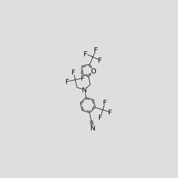 N#Cc1ccc(N(Cc2ccc(C(F)(F)F)o2)CC(F)(F)F)cc1C(F)(F)F